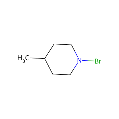 CC1CCN(Br)CC1